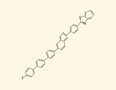 Fc1ccc(-c2ccc(-c3ccc(-c4ccc5cc(-c6ccc(-c7nc8ccccc8s7)cc6)ccc5c4)cc3)cc2)cc1